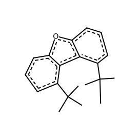 CC(C)(C)c1cccc2oc3cccc(C(C)(C)C)c3c12